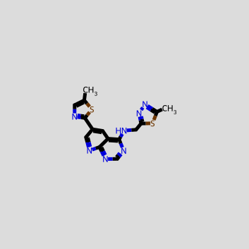 Cc1cnc(-c2cnc3ncnc(NCc4nnc(C)s4)c3c2)s1